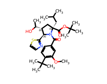 COc1cc(C(=O)N2[C@@H](c3nccs3)[C@H](C(C)O)C[C@@]2(CC(C)C)C(=O)OC(C)(C)C)ccc1C(C)(C)C